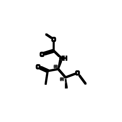 COC(=O)N[C@H](C(C)=O)[C@@H](C)OC